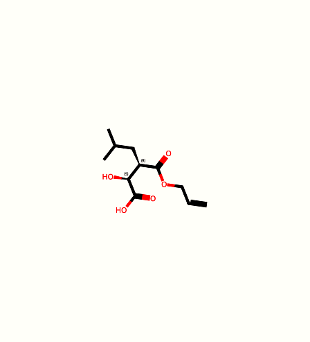 C=CCOC(=O)[C@H](CC(C)C)[C@H](O)C(=O)O